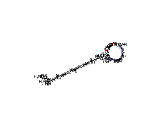 CO[C@H]1C[C@@H]2CC[C@@H](C)[C@@](O)(O2)C(=O)C(=O)N2CCCC[C@H]2C(=O)O[C@H]([C@H](N)C[C@@H]2CC[C@H](n3cc(CCCC(=O)NCCOCCOCCOCCC(=O)NCCOCCOCCOCCC(=O)NCCCCn4nc(-c5ccc6oc(N)nc6c5)c5c(N)ncnc54)nn3)[C@H](OC)C2)C/C(=N/OC(C)(C)C)[C@H](C)/C=C(\C)[C@@H](O)[C@@H](O)C(=O)[C@H](C)C[C@H](C)/C=C/C=C/C=C/1C